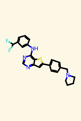 FC(F)c1cccc(Nc2ncnc3cc(-c4ccc(CN5CCCC5)cc4)sc23)c1